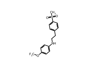 CS(=O)(=O)c1ccc(CCNc2ccc(OC(F)(F)F)cc2)cc1